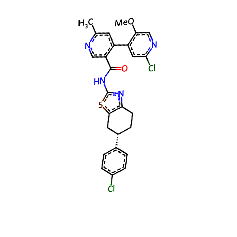 COc1cnc(Cl)cc1-c1cc(C)ncc1C(=O)Nc1nc2c(s1)C[C@@H](c1ccc(Cl)cc1)CC2